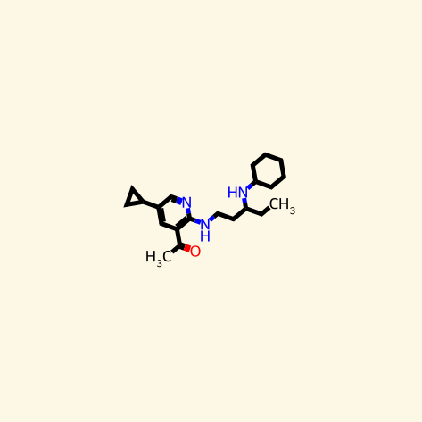 CCC(CCNc1ncc(C2CC2)cc1C(C)=O)NC1CCCCC1